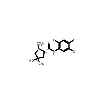 C[C@]1(O)C[C@@H](C(=O)Nc2cc(Cl)c(F)cc2F)N(C(=O)O)C1